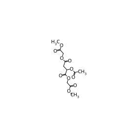 COC(=O)COC(=O)CC(OC(C)=O)C(=O)OCC(=O)OC